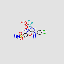 CCOc1ccc(S(=O)(=O)NC)cc1Nc1cc(Nc2ccc(Cl)cc2)ncn1.O=C(O)C(F)(F)F